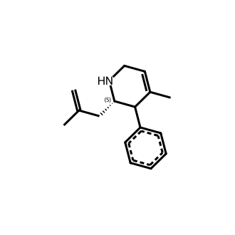 C=C(C)C[C@@H]1NCC=C(C)C1c1ccccc1